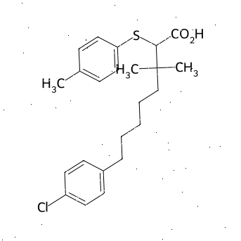 Cc1ccc(SC(C(=O)O)C(C)(C)CCCCCc2ccc(Cl)cc2)cc1